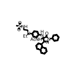 CCN(CCNS(C)(=O)=O)c1ccc(NC2(NC(C)=O)C(=O)N(c3ccccc3)N=C2c2cccc3ccccc23)cc1